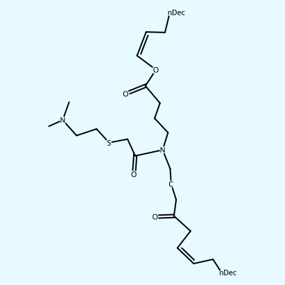 CCCCCCCCCCC/C=C\CC(=O)CCCN(CCCC(=O)O/C=C\CCCCCCCCCCC)C(=O)CSCCN(C)C